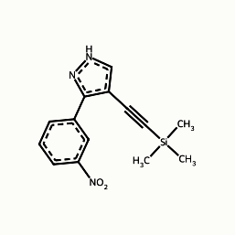 C[Si](C)(C)C#Cc1c[nH]nc1-c1cccc([N+](=O)[O-])c1